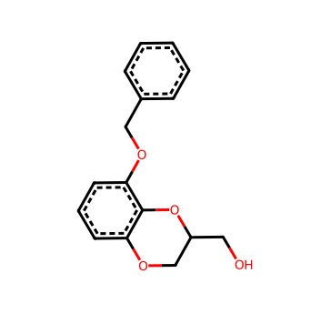 OCC1COc2cccc(OCc3ccccc3)c2O1